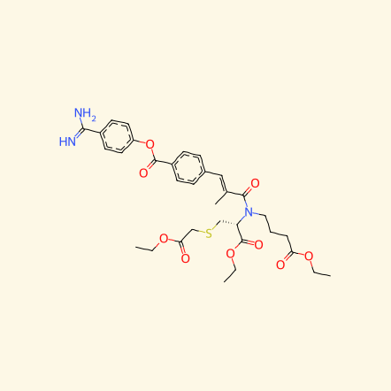 CCOC(=O)CCCN(C(=O)/C(C)=C/c1ccc(C(=O)Oc2ccc(C(=N)N)cc2)cc1)[C@@H](CSCC(=O)OCC)C(=O)OCC